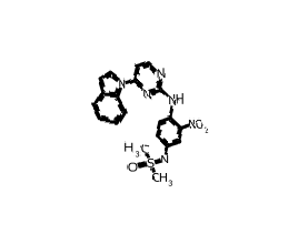 CS(C)(=O)=Nc1ccc(Nc2nccc(-n3ccc4ccccc43)n2)c([N+](=O)[O-])c1